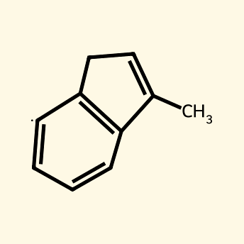 CC1=CCc2[c]cccc21